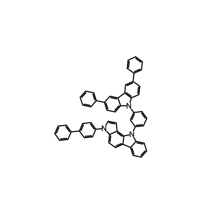 c1ccc(-c2ccc(-n3ccc4c3ccc3c5ccccc5n(-c5cccc(-n6c7ccc(-c8ccccc8)cc7c7cc(-c8ccccc8)ccc76)c5)c34)cc2)cc1